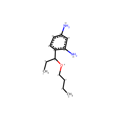 CCCCOC(CC)c1ccc(N)cc1N